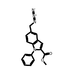 COC(=O)c1cc2cc(CN=[N+]=[N-])ccc2n1-c1ccccc1